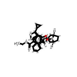 CCOC(=O)c1ccc2nc(N3[C@@H]4CC[C@H]3C[C@@H](OCc3c(-c5ccccc5C(F)(F)F)noc3C3CC3)C4)sc2c1